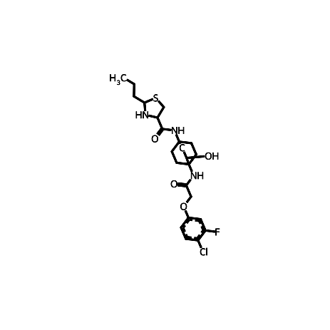 CCCC1NC(C(=O)NC23CCC(NC(=O)COc4ccc(Cl)c(F)c4)(CC2)C(O)C3)CS1